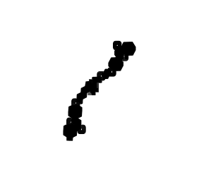 Cc1ccc2oc(-c3ccc(OCCCCc4cn(CCOCCOc5ccc(-c6cc(=O)c7ccccc7o6)cc5)nn4)cc3)cc(=O)c2c1